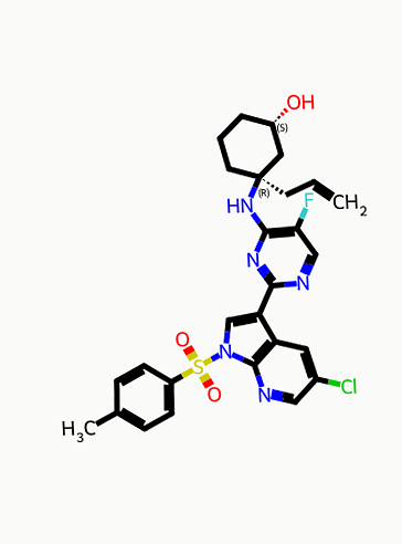 C=CC[C@]1(Nc2nc(-c3cn(S(=O)(=O)c4ccc(C)cc4)c4ncc(Cl)cc34)ncc2F)CCC[C@H](O)C1